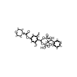 O=C(Oc1cc(F)c(C2OP(=O)(O)C(O)(Cc3cccnc3)P(=O)(O)O2)c(F)c1)N1CCOCC1